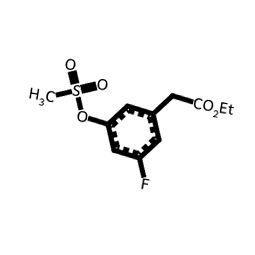 CCOC(=O)Cc1cc(F)cc(OS(C)(=O)=O)c1